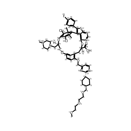 COCCOCCOC[C@H]1CC[C@H](c2nccc(COc3ccc4cc3C[C@H](C(=O)O)Oc3ncnc5sc(-c6ccc(F)cc6)c(c35)-c3c(C)c(Cl)c(c(Cl)c3C)O[C@H](CN3CCN(C)CC3)CO4)n2)CC1